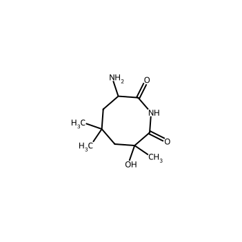 CC1(C)CC(N)C(=O)NC(=O)C(C)(O)C1